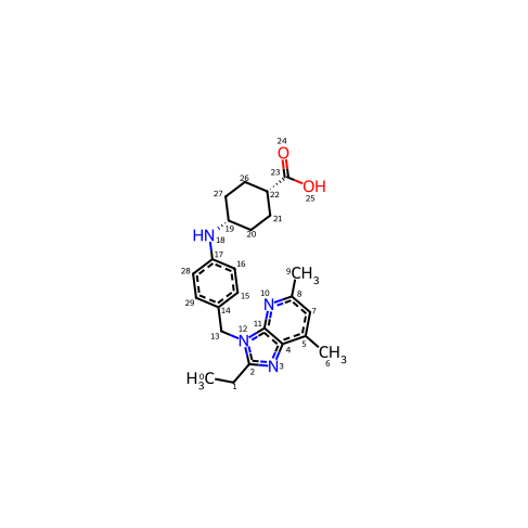 CCc1nc2c(C)cc(C)nc2n1Cc1ccc(N[C@H]2CC[C@@H](C(=O)O)CC2)cc1